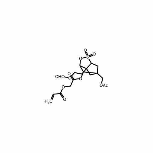 C=CC(=O)OCC(=O)OC1C2OS(=O)(=O)C3CC1(COC(C)=O)CC23CCOC=O